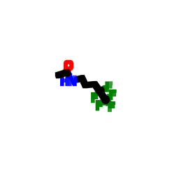 CC(=O)NCCCC(F)(F)C(F)(F)F